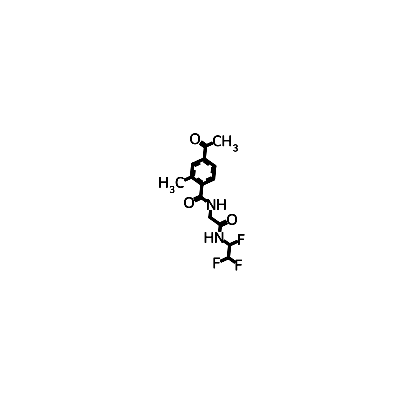 CC(=O)c1ccc(C(=O)NCC(=O)NC(F)C(F)F)c(C)c1